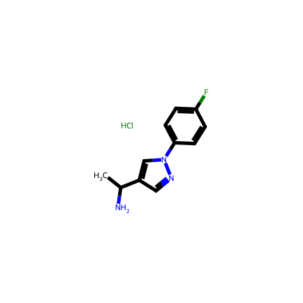 CC(N)c1cnn(-c2ccc(F)cc2)c1.Cl